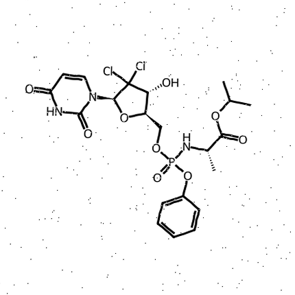 CC(C)OC(=O)[C@H](C)NP(=O)(OC[C@H]1O[C@@H](n2ccc(=O)[nH]c2=O)C(Cl)(Cl)[C@@H]1O)Oc1ccccc1